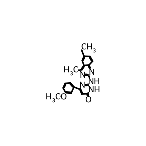 CCc1ccc2nc(Nc3nc(-c4cccc(OC)c4)cc(=O)[nH]3)nc(C)c2c1